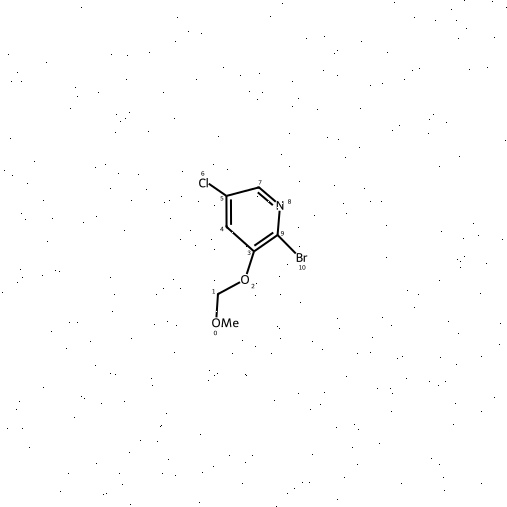 COCOc1cc(Cl)cnc1Br